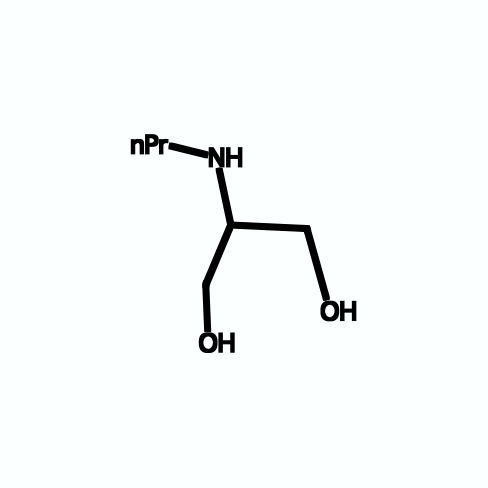 CCCNC(CO)CO